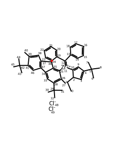 CCC1C=C(C(C)(C)C)C=[C]1[Zr+2](=[C](c1ccccc1)c1ccccc1)[c]1c(C)c(C(C)(C)C)cc2c1Cc1cc(C)c(C(C)(C)C)cc1-2.[Cl-].[Cl-]